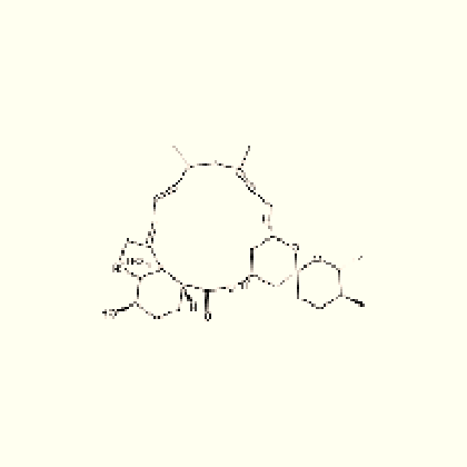 C/C1=C\C[C@@H]2C[C@@H](C[C@]3(CC[C@H](C)[C@@H](C)O3)O2)OC(=O)[C@@H]2CC[C@@H](O)[C@H]3OC/C(=C\C=C\[C@H](C)C1)[C@]32O